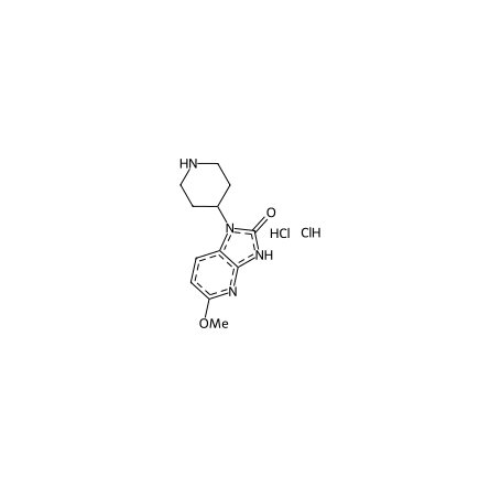 COc1ccc2c(n1)[nH]c(=O)n2C1CCNCC1.Cl.Cl